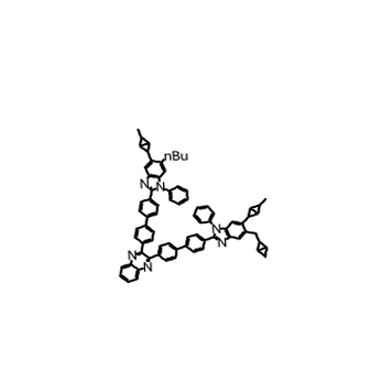 CCCCc1cc2c(cc1C1C3C(C)C13)nc(-c1ccc(-c3ccc(-c4nc5ccccc5nc4-c4ccc(-c5ccc(-c6nc7cc(CC8C9CC89)c(C8C9C(C)C89)cc7n6-c6ccccc6)cc5)cc4)cc3)cc1)n2-c1ccccc1